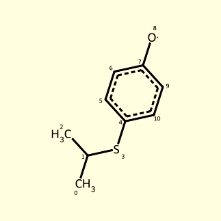 CC(C)Sc1ccc([O])cc1